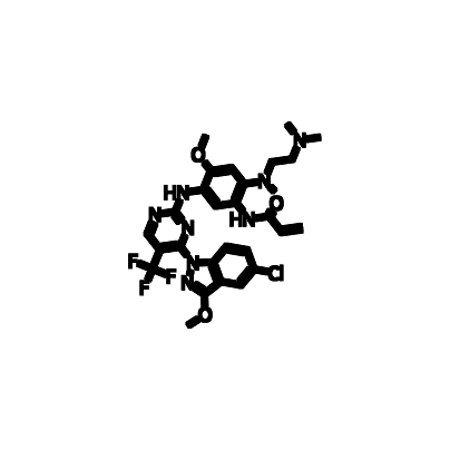 C=CC(=O)Nc1cc(Nc2ncc(C(F)(F)F)c(-n3nc(OC)c4cc(Cl)ccc43)n2)c(OC)cc1N(C)CCN(C)C